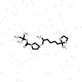 CC(CCCCC1(C)OCCO1)C[C@@H]1CCN(C(=O)OC(C)(C)C)C1